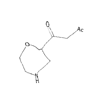 CC(=O)CC(=O)C1CNCCO1